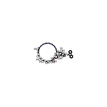 CC1O[C@@H](O[C@H]2/C=C/C=C/C=C/C=C/C=C/C=C/C=C/[C@H](C)[C@@H](O)[C@@H](C)[C@H](C)OC(=O)C[C@H](O)C[C@H](O)C[C@H](O)CC[C@@H](O)[C@H](O)C[C@]3(O)C[C@H](O)[C@@H](C(=O)O)[C@H](C2)O3)C(O)[C@H](NC(=O)OCC2c3ccccc3-c3ccccc32)[C@@H]1O